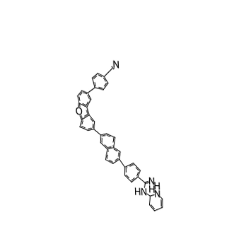 N#Cc1ccc(-c2ccc3oc4ccc(-c5ccc6cc(-c7ccc(C(=N)NC8C=CC=CN8)cc7)ccc6c5)cc4c3c2)cc1